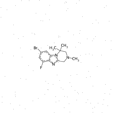 CN1Cc2nc3c(F)cc(Br)cc3n2C(C)(C)C1